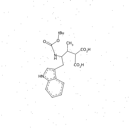 CC(C(Cc1c[nH]c2ccccc12)NC(=O)OC(C)(C)C)C(C(=O)O)C(=O)O